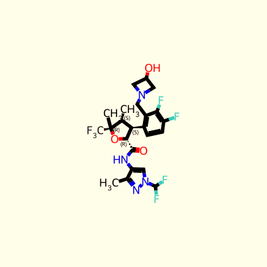 Cc1nn(C(F)F)cc1NC(=O)[C@@H]1O[C@@](C)(C(F)(F)F)[C@@H](C)[C@H]1c1ccc(F)c(F)c1CN1CC(O)C1